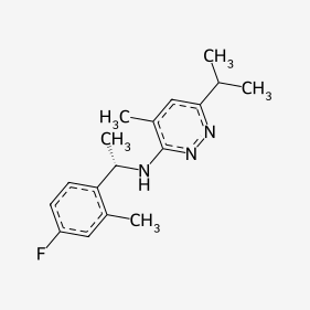 Cc1cc(F)ccc1[C@H](C)Nc1nnc(C(C)C)cc1C